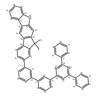 CC1(C)c2cc(-c3cccc(-c4cccc(-c5nc(-c6ccccc6)nc(-c6ccccc6)n5)c4)c3)ccc2-c2cc3c(cc21)oc1ccccc13